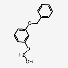 OBOc1cccc(OCc2ccccc2)c1